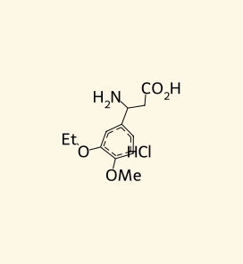 CCOc1cc(C(N)CC(=O)O)ccc1OC.Cl